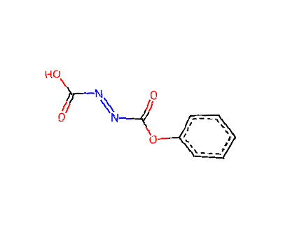 O=C(O)N=NC(=O)Oc1ccccc1